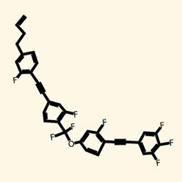 C=CCCc1ccc(C#Cc2ccc(C(F)(F)Oc3ccc(C#Cc4cc(F)c(F)c(F)c4)c(F)c3)c(F)c2)c(F)c1